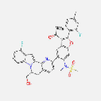 CNC(=O)c1c(-c2ccc(C)cc2F)oc2cc(N(C)S(C)(=O)=O)c(-c3ccc4c(n3)-c3cc5c(F)cccc5n3C(CO)C4)cc12